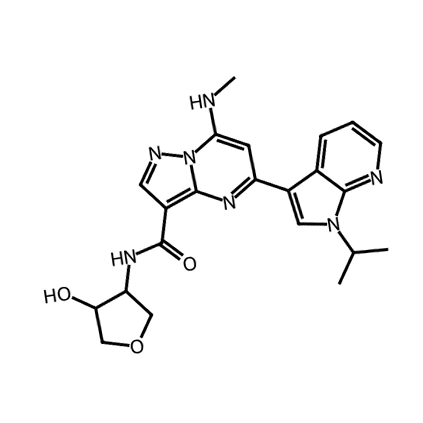 CNc1cc(-c2cn(C(C)C)c3ncccc23)nc2c(C(=O)NC3COCC3O)cnn12